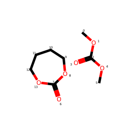 COC(=O)OC.O=C1OCCCCO1